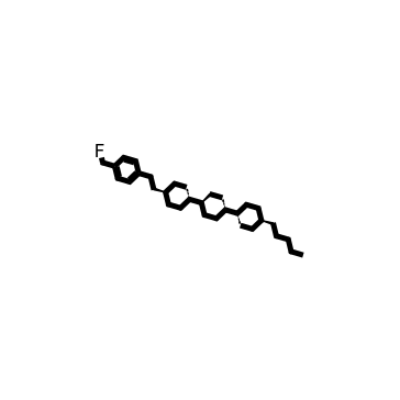 CCCCC[C@H]1CC[C@H]([C@H]2CC[C@H]([C@H]3CC[C@H](CCc4ccc(CF)cc4)CC3)CC2)CC1